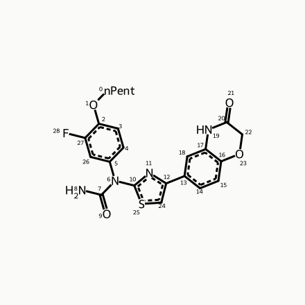 CCCCCOc1ccc(N(C(N)=O)c2nc(-c3ccc4c(c3)NC(=O)CO4)cs2)cc1F